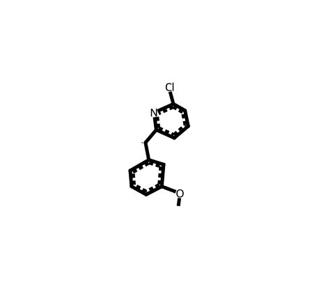 COc1cccc([CH]c2cccc(Cl)n2)c1